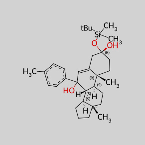 Cc1ccc(C2(O)C=C3C[C@](O)(O[Si](C)(C)C(C)(C)C)CC[C@]3(C)[C@H]3CC[C@]4(C)CCC[C@H]4[C@@H]32)cc1